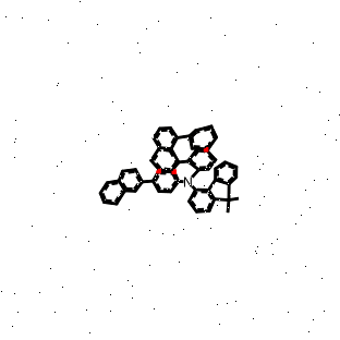 CC1(C)c2ccccc2-c2c(N(c3ccc(-c4ccc5ccccc5c4)cc3)c3ccccc3-c3cccc4cccc(-c5ccccc5)c34)cccc21